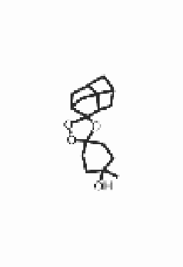 CC1(O)CCC2(CC1)OOC1(O2)C2CC3CC(C2)CC1C3